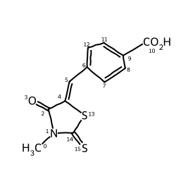 CN1C(=O)/C(=C/c2ccc(C(=O)O)cc2)SC1=S